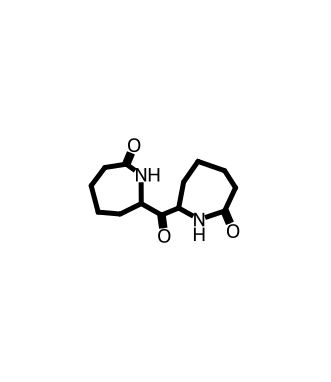 O=C1CCCCC(C(=O)C2CCCCC(=O)N2)N1